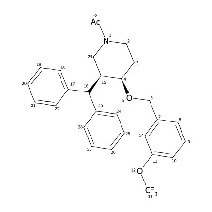 CC(=O)N1CC[C@@H](OCc2cccc(OC(F)(F)F)c2)[C@@H](C(c2ccccc2)c2ccccc2)C1